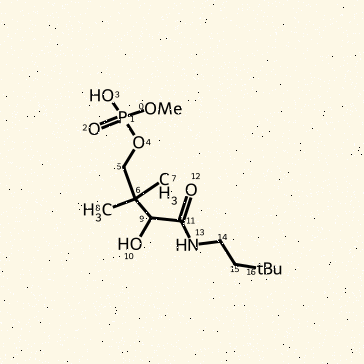 COP(=O)(O)OCC(C)(C)C(O)C(=O)NCCC(C)(C)C